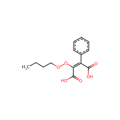 CCCCOOC(C(=O)O)=C(C(=O)O)c1ccccc1